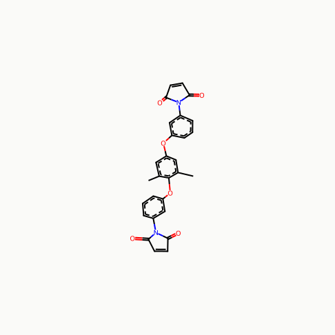 Cc1cc(Oc2cccc(N3C(=O)C=CC3=O)c2)cc(C)c1Oc1cccc(N2C(=O)C=CC2=O)c1